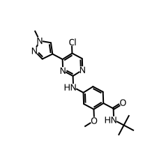 COc1cc(Nc2ncc(Cl)c(-c3cnn(C)c3)n2)ccc1C(=O)NC(C)(C)C